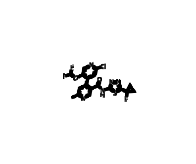 Cc1cc(-c2cc(Cl)ncc2OC(F)F)c(C(=O)Nc2nnc(C3(F)CC3)s2)cn1